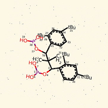 [CH2]C([CH2])([C](OP(O)O)c1ccc(C(C)(C)C)cc1C(C)(C)C)C(OP(O)O)c1ccc(C(C)(C)C)cc1C(C)(C)C